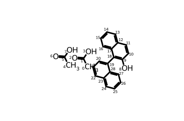 CC(=O)O.CC(=O)O.Oc1ccc2ccccc2c1-c1cccc2ccccc12